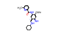 COC1=CC(=N)/C(=C\NC2CCCCC2)C=C1NC(=O)c1cccc(C)n1